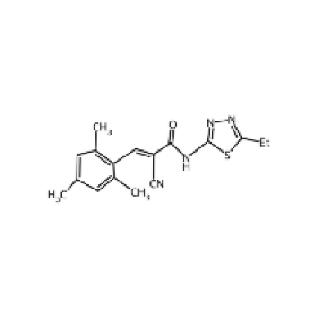 CCc1nnc(NC(=O)/C(C#N)=C/c2c(C)cc(C)cc2C)s1